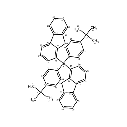 CC(C)(C)c1ccc([Si](c2ccc(C(C)(C)C)cc2)(c2cccc3c2Cc2ccccc2-3)c2cccc3c2Cc2ccccc2-3)cc1